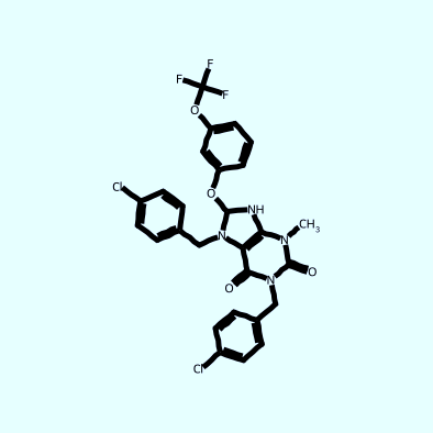 Cn1c2c(c(=O)n(Cc3ccc(Cl)cc3)c1=O)N(Cc1ccc(Cl)cc1)C(Oc1cccc(OC(F)(F)F)c1)N2